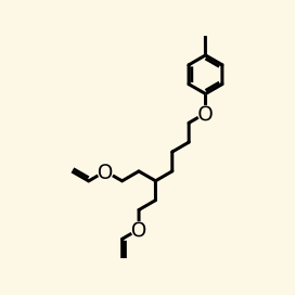 C=COCCC(CCCCOc1ccc(C)cc1)CCOC=C